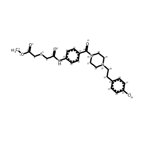 COC(=O)CSCC(=O)Nc1ccc(C(=O)N2CCN(CCc3ccc(Cl)cc3)CC2)cc1